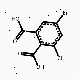 O=C(O)c1cc(Br)cc(Cl)c1C(=O)O